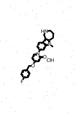 Cl.Cn1c2c(c3ccc(-n4ccc(OCc5ccc(F)cc5)cc4=O)cc31)CNCCC2